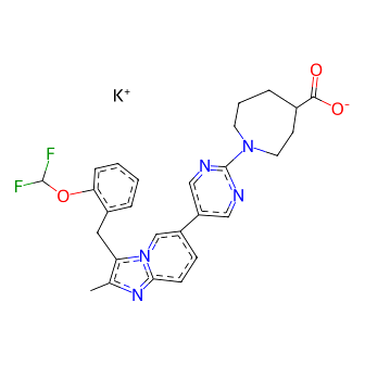 Cc1nc2ccc(-c3cnc(N4CCCC(C(=O)[O-])CC4)nc3)cn2c1Cc1ccccc1OC(F)F.[K+]